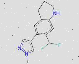 Cn1cc(-c2cc3c(cc2C(F)F)NCCC3)cn1